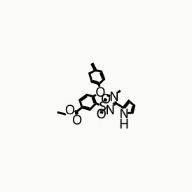 C=C1C=CC(Oc2ccc(C(=O)OCC)cc2S(=O)(=O)N=C(c2ccc[nH]2)N(C)C)=CC1